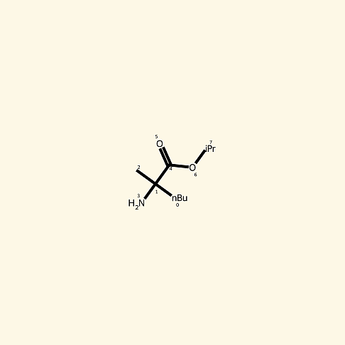 CCCCC(C)(N)C(=O)OC(C)C